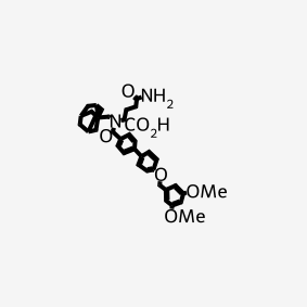 COc1cc(COc2ccc(-c3ccc(C(=O)N(CC45CC6CC(CC(C6)C4)C5)[C@@H](CCC(N)=O)C(=O)O)cc3)cc2)cc(OC)c1